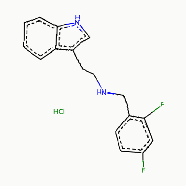 Cl.Fc1ccc(CNCCc2c[nH]c3ccccc23)c(F)c1